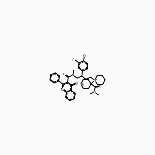 CN(C)C(=O)C1([N+]2(CCC(CN(C)C(=O)c3c(-c4ccccc4)oc4ccccc4c3=O)c3ccc(Cl)c(Cl)c3)CCCCC2)CCNCC1